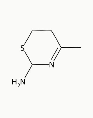 CC1=NC(N)SCC1